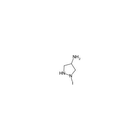 NC1CNN(I)C1